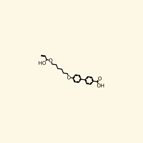 C=CC(O)OCCCCCCOc1ccc(-c2ccc(C(=O)O)cc2)cc1